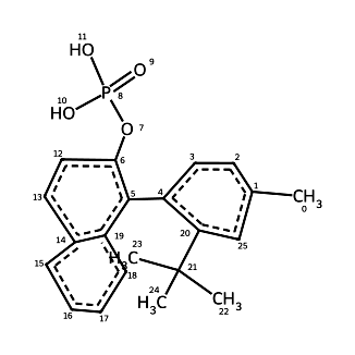 Cc1ccc(-c2c(OP(=O)(O)O)ccc3ccccc23)c(C(C)(C)C)c1